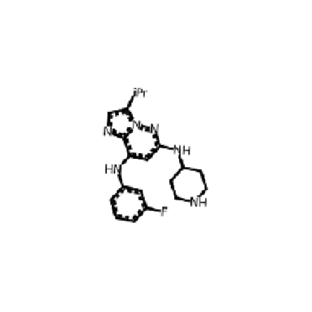 CC(C)c1cnc2c(Nc3cccc(F)c3)cc(NC3CCNCC3)nn12